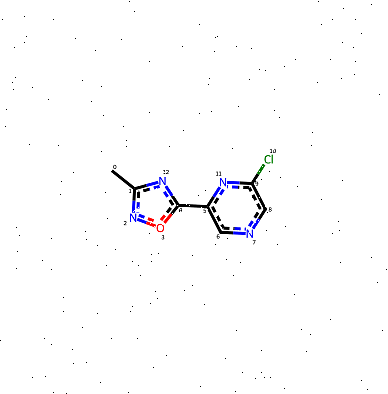 Cc1noc(-c2cncc(Cl)n2)n1